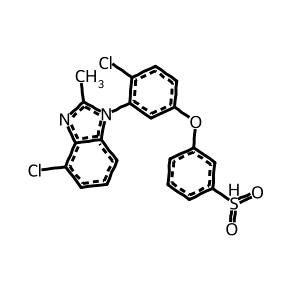 Cc1nc2c(Cl)cccc2n1-c1cc(Oc2cccc([SH](=O)=O)c2)ccc1Cl